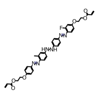 C=CC(=O)OCCOc1ccc(/N=N/c2ccc(NNc3ccc(/N=N/c4ccc(OCCOC(=O)C=C)cc4F)cc3)cc2C)cc1